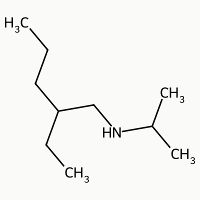 CCCC(CC)CNC(C)C